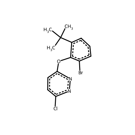 CC(C)(C)c1cccc(Br)c1Oc1ccc(Cl)nn1